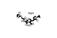 O=C(CSc1ncc[nH]1)N[C@@H]1C(=O)N2C(C(=O)O)=C(/C=C3\CCN(C4CC4)C3=O)CS[C@H]12.[NaH]